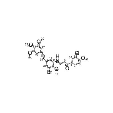 COc1ccc(C(=O)C=CNc2cc(C=Cc3cc(OC)c(OC)c(OC)c3)cc(Br)c2OC)cc1Cl